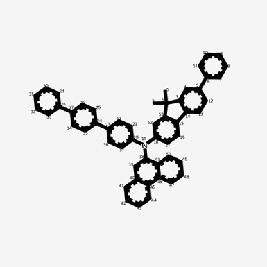 CC1(C)c2cc(-c3ccccc3)ccc2-c2ccc(N(c3ccc(-c4ccc(-c5ccccc5)cc4)cc3)c3cc4ccccc4c4ccccc34)cc21